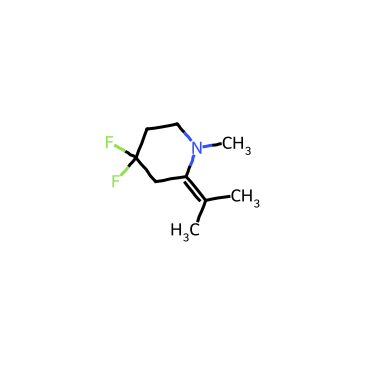 CC(C)=C1CC(F)(F)CCN1C